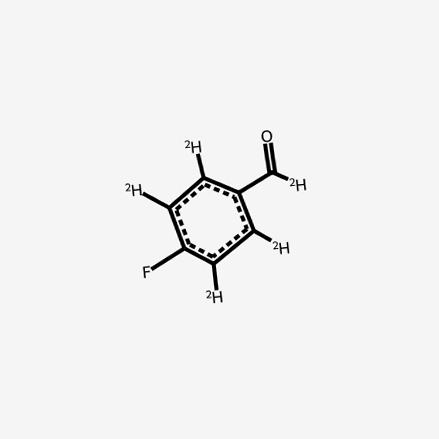 [2H]C(=O)c1c([2H])c([2H])c(F)c([2H])c1[2H]